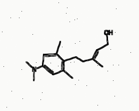 CC(=CCO)CCc1c(C)cc(N(C)C)cc1C